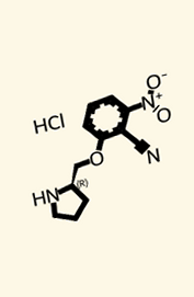 Cl.N#Cc1c(OC[C@H]2CCCN2)cccc1[N+](=O)[O-]